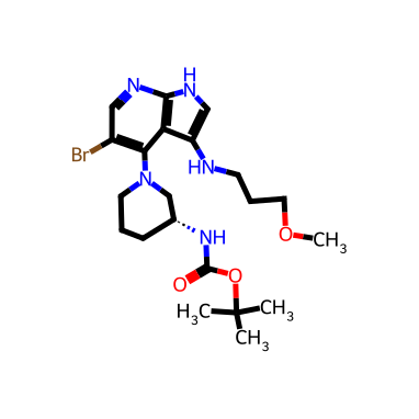 COCCCNc1c[nH]c2ncc(Br)c(N3CCC[C@@H](NC(=O)OC(C)(C)C)C3)c12